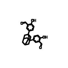 O=Cc1cc(C23CC4CC(C2)CC(c2ccc(O)c(C=O)c2)(C4)C3)ccc1O